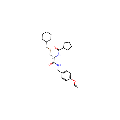 COc1ccc(CNC(=O)[C@H](CSCC2CCCCC2)NC(=O)C2CCCC2)cc1